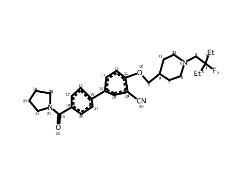 CCC(F)(CC)CN1CCC(COc2ccc(-c3ccc(C(=O)N4CCCC4)cc3)cc2C#N)CC1